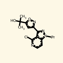 CC(C)n1nc(-c2cc(C(C)(C)O)on2)c2c(Cl)nccc21